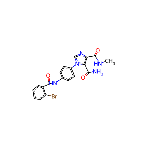 CNC(=O)c1ncn(-c2ccc(NC(=O)c3ccccc3Br)cc2)c1C(N)=O